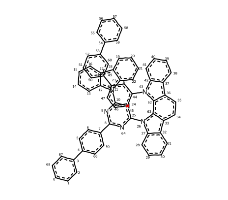 c1ccc(-c2ccc(-c3nc(-n4c5ccccc5c5ccccc54)nc(-n4c5ccccc5c5ccc6c7ccccc7n(-c7cccc(-c8cccc(-c9ccccc9)c8)c7)c6c54)n3)cc2)cc1